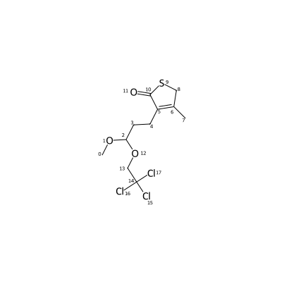 COC(CCC1=C(C)CSC1=O)OCC(Cl)(Cl)Cl